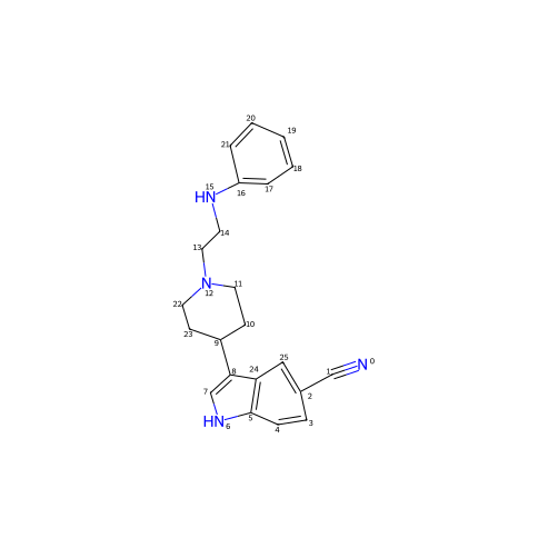 N#Cc1ccc2[nH]cc(C3CCN(CCNc4ccccc4)CC3)c2c1